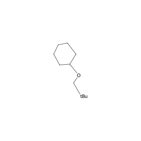 CC(C)(C)CO[C]1CCCCC1